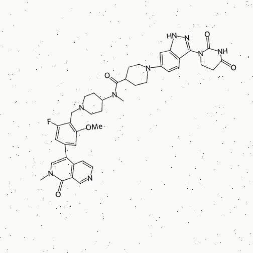 COc1cc(-c2cn(C)c(=O)c3cnccc23)cc(F)c1CN1CCC(N(C)C(=O)C2CCN(c3ccc4c(N5CCC(=O)NC5=O)n[nH]c4c3)CC2)CC1